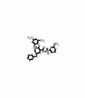 Cc1cc(C)c(Oc2ncc(Cc3ccccc3)cc2C(=O)NS(=O)(=O)c2cccc(N)n2)c(C)c1